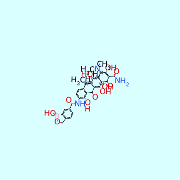 C[C@H]1c2ccc(NC(=O)c3ccc4c(c3)B(O)OC4)c(O)c2C(=O)C2=C(O)[C@]3(O)C(=O)C(C(N)=O)=C(O)[C@@H](N(C)C)[C@@H]3[C@@H](O)[C@@H]21